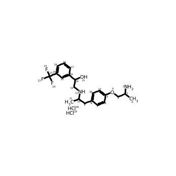 CC(N)COc1ccc(CC(C)NCC(O)c2cccc(C(F)(F)F)c2)cc1.Cl.Cl